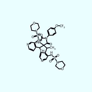 CC(c1ccncc1NS(=O)(=O)N1CCOCC1)C1(C(C)c2ccncc2NS(=O)(=O)N2CCOCC2)NC(=O)N(c2ccc(OC(F)(F)F)cc2)C1=O